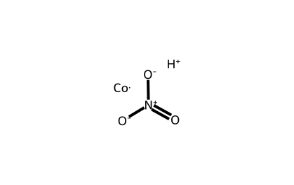 O=[N+]([O-])[O-].[Co].[H+]